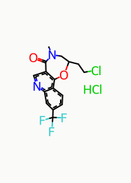 CN1CC(CCCl)Oc2c(cnc3cc(C(F)(F)F)ccc23)C1=O.Cl